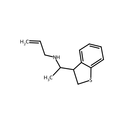 C=CCNC(C)C1CSc2ccccc21